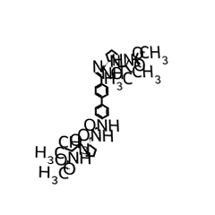 COC(=O)N[C@H](C(=O)N1CCC[C@H]1C(=O)NC(=O)Nc1ccc(-c2ccc(-c3cnc([C@@H]4CCCN4C(=O)[C@@H](NC(=O)OC)C(C)C)[nH]3)cc2)cc1)C(C)C